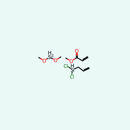 C=CC(=O)OC.C=CC[SiH](Cl)Cl.CO[SiH2]OC